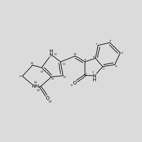 O=C1Nc2ccccc2/C1=C/c1cc2c([nH]1)CCNC2=O